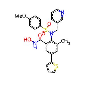 COc1ccc(S(=O)(=O)N(Cc2cccnc2)c2c(C)cc(-c3cccs3)cc2C(=O)NO)cc1